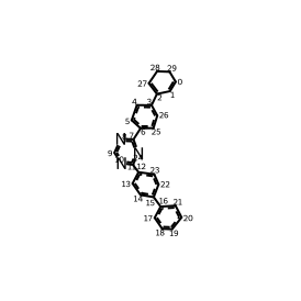 C1=CC(c2ccc(-c3ncnc(-c4ccc(-c5ccccc5)cc4)n3)cc2)=CCC1